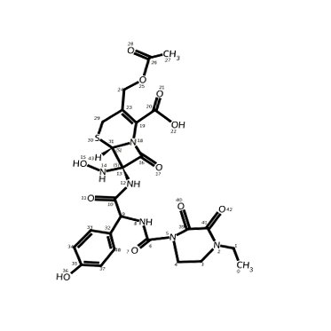 CCN1CCN(C(=O)NC(C(=O)N[C@]2(NO)C(=O)N3C(C(=O)O)=C(COC(C)=O)CS[C@H]32)c2ccc(O)cc2)C(=O)C1=O